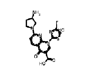 Cl.NC1CCN(c2ccc3c(=O)c(C(=O)O)cn(-c4nc(F)cs4)c3n2)C1